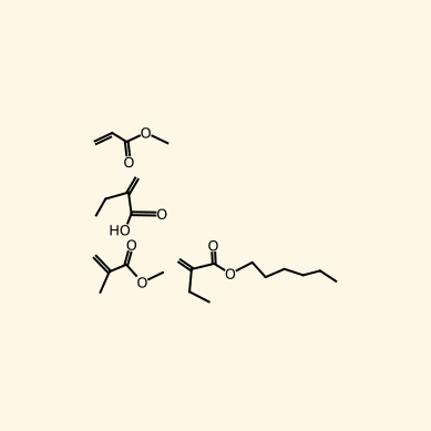 C=C(C)C(=O)OC.C=C(CC)C(=O)O.C=C(CC)C(=O)OCCCCCC.C=CC(=O)OC